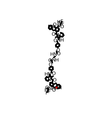 Cc1c(NC(=O)c2ccc(OCC(=O)NCCNC(=O)COc3ccc(C(=O)Nc4c(C)c(C(=O)c5ccc(NC(=O)C(F)(F)F)c(C(=O)O)c5Cc5ccccc5)n5ccccc45)cc3)cc2)c2ccccn2c1C(=O)c1ccc(NC(=O)C(F)(F)F)c(C(=O)O)c1Cc1ccccc1